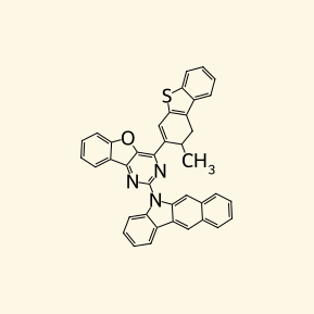 CC1Cc2c(sc3ccccc23)C=C1c1nc(-n2c3ccccc3c3cc4ccccc4cc32)nc2c1oc1ccccc12